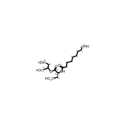 CCCCCCCCCCCCCCCCCC(=O)N[C@@H](CC(=O)O)C(=O)OC(CCCCCCCC)CCCCCCCCCCC